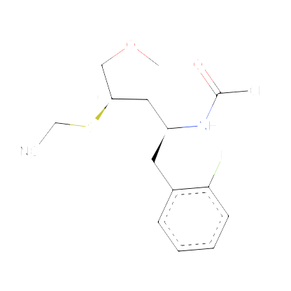 N#CCS[C@H]1COC[C@@H]1[C@H](Cc1ccccc1F)NC(=O)C(F)(F)F